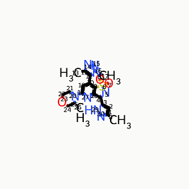 Cc1cc(C2=NS(=O)(=O)c3c(-c4c(C)nnn4C)cc(N4CCOC[C@H]4C)nc32)[nH]n1